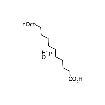 CCCCCCCCCCCCCCCCCC(=O)O.[Li+].[OH-]